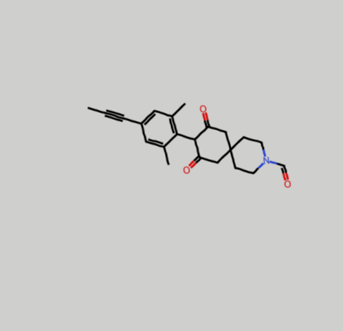 CC#Cc1cc(C)c(C2C(=O)CC3(CCN(C=O)CC3)CC2=O)c(C)c1